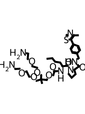 CCCCC(NC(=O)COCC(C)(COCCOCCN)COCCOCCN)C(=O)N1CCCC1C(=O)NCc1ccc(-c2scnc2C)cc1